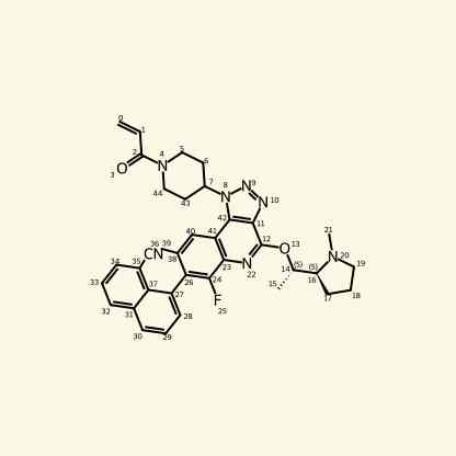 C=CC(=O)N1CCC(n2nnc3c(O[C@@H](C)[C@@H]4CCCN4C)nc4c(F)c(-c5cccc6cccc(C#N)c56)c(C)cc4c32)CC1